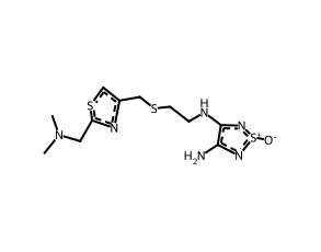 CN(C)Cc1nc(CSCCNc2n[s+]([O-])nc2N)cs1